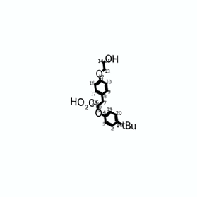 CC(C)(C)c1ccc(O[C@@H](Cc2ccc(OCCO)cc2)C(=O)O)cc1